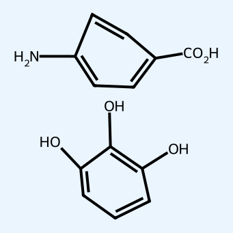 Nc1ccc(C(=O)O)cc1.Oc1cccc(O)c1O